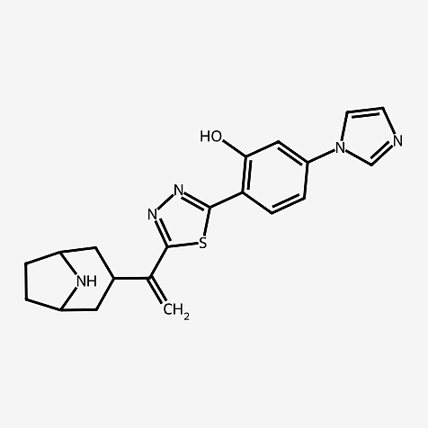 C=C(c1nnc(-c2ccc(-n3ccnc3)cc2O)s1)C1CC2CCC(C1)N2